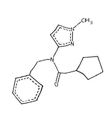 Cn1ccc(N(Cc2ccccc2)C(=O)C2CCCC2)n1